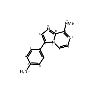 CNc1nccn2c(-c3ccc(N)cc3)cnc12